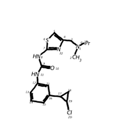 CC(C)N(C)Cc1csc(NC(=O)Nc2cccc(C3CC3Cl)c2)n1